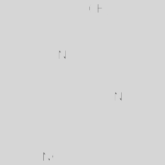 N#CCc1cnc(C(F)(F)F)cn1